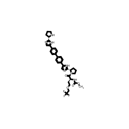 COC(=O)N[C@@H](CCOCC(F)(F)F)C(=O)N1CCC[C@H]1c1ncc(-c2ccc(-c3ccc(-c4cnc([C@@H]5CCCN5)[nH]4)cc3)cc2)[nH]1